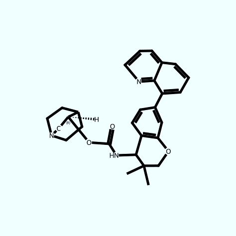 CC1(C)COc2cc(-c3cccc4cccnc34)ccc2C1NC(=O)O[C@H]1CN2CCC1CC2